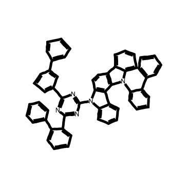 c1ccc(-c2cccc(-c3nc(-c4ccccc4-c4ccccc4)nc(-n4c5ccccc5c5c4ccc4c6ccccc6n(-c6ccccc6-c6ccccc6)c45)n3)c2)cc1